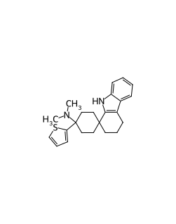 CN(C)C1(c2cccs2)CCC2(CCCc3c2[nH]c2ccccc32)CC1